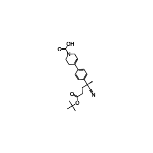 CC(C)(C)OC(=O)CC[C@@](C)(C#N)c1ccc(C2=CCN(C(=O)O)CC2)cc1